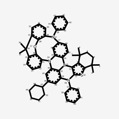 CC1(C)CCC(C)(C)c2c1sc1c2B2c3ccc4cc3N(c3cccc5c3Oc3c(cccc3C5(C)C)N4c3ccccc3)c3cc(C4CCCCC4)cc(c32)N1c1ccccc1